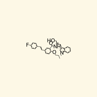 CCCOc1ccc(C=Cc2ccc(F)cc2)cc1C(=O)N[C@@H](CO)Cc1cn(C)c2ccccc12